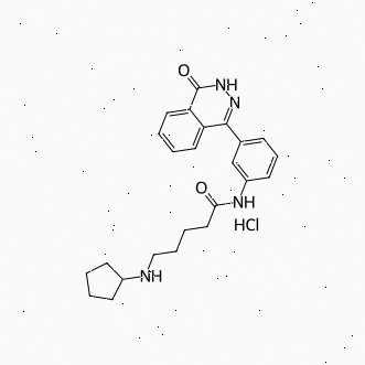 Cl.O=C(CCCCNC1CCCC1)Nc1cccc(-c2n[nH]c(=O)c3ccccc23)c1